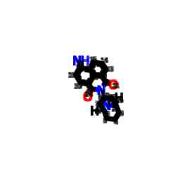 CN1[C@@H]2CCC[C@H]1C[C@@H](N1C(=O)c3cccc4c(N)ccc(c34)C1=O)C2